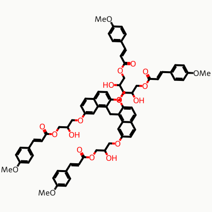 COc1ccc(/C=C/C(=O)OCC(O)COc2ccc3ccc(OCC(O)COC(=O)/C=C/c4ccc(OC)cc4)c(Cc4c(OCC(O)COC(=O)/C=C/c5ccc(OC)cc5)ccc5ccc(OCC(O)COC(=O)/C=C/c6ccc(OC)cc6)cc45)c3c2)cc1